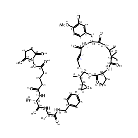 COc1ccc(C[C@H]2NC(=O)/C=C/C[C@@H]([C@H](C)[C@H]3O[C@@H]3c3ccc(CNC(=O)[C@H](C)NC(=O)[C@@H](NC(=O)CCCC(=O)ON4C(=O)CCC4=O)C(C)C)cc3)OC(=O)[C@H](CC(C)C)NC(=O)C(C)(C)C(C)NC2=O)cc1Cl